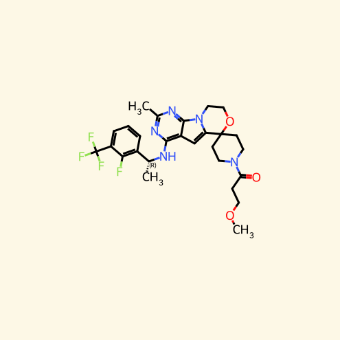 COCCC(=O)N1CCC2(CC1)OCCn1c2cc2c(N[C@H](C)c3cccc(C(F)(F)F)c3F)nc(C)nc21